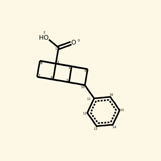 O=C(O)C12C3C4C1C1C2C3C41c1ccccc1